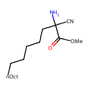 CCCCCCCCCCCCCC(N)(C#N)C(=O)OC